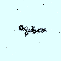 CC(=O)c1cn(CC(=O)N2C[C@H](F)C[C@H]2C(=O)NCc2ccccc2)c2ccc(-c3cnc4cc(C)nn4c3)cc12